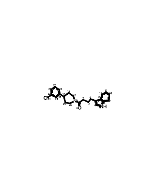 O=C(CCCc1c[nH]c2ccccc12)N1CCC(c2cccc(Cl)c2)CC1